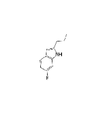 CCCc1cc2ccc(F)cc2[nH]1